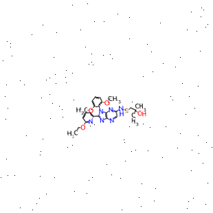 CCOc1cccc(-c2nc3ncc(NSCC(C)(C)O)nc3n2-c2c(OC)cccc2OC)n1